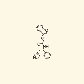 O=C(/C=C/c1coc2ccccc12)NC(Cn1ccnc1)c1ccccc1